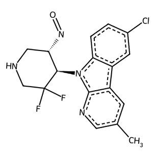 Cc1cnc2c(c1)c1cc(Cl)ccc1n2[C@@H]1[C@@H](N=O)CNCC1(F)F